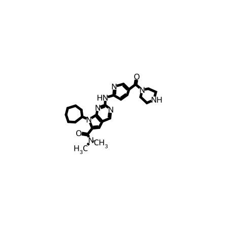 CN(C)C(=O)c1cc2cnc(Nc3ccc(C(=O)N4CCNCC4)cn3)nc2n1C1CCCCCC1